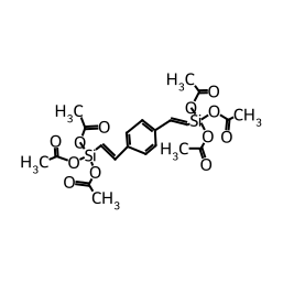 CC(=O)O[Si](/C=C/c1ccc(/C=C/[Si](OC(C)=O)(OC(C)=O)OC(C)=O)cc1)(OC(C)=O)OC(C)=O